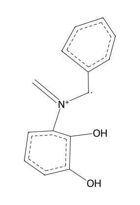 C=[N+]([CH]c1ccccc1)c1cccc(O)c1O